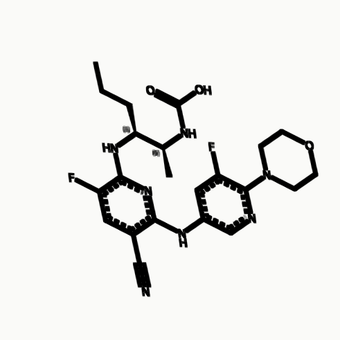 CCC[C@H](Nc1nc(Nc2cnc(N3CCOCC3)c(F)c2)c(C#N)cc1F)[C@H](C)NC(=O)O